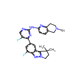 CCN1CCc2nc(Nc3ncc(F)c(-c4cc(F)c5nn6c(c5c4)C(C)(C)CC6)n3)ccc2C1